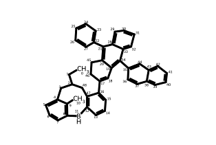 CCC1Cc2cccc(c2C)Bc2cccc(C3=Cc4c(c(-c5ccccc5)c5ccccc5c4-c4ccc5ccccc5c4)CC3)c2C1